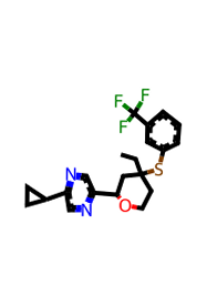 CCC1(Sc2cccc(C(F)(F)F)c2)CCOC(c2cnc(C3CC3)cn2)C1